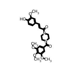 COc1cc(C=CC(=O)N2CCN(C(=O)c3cc(OC)c(OC)c(OC)c3)CC2)ccc1O